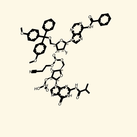 COc1ccc(C(OC[C@H]2O[C@@H](n3cnc4c(NC(=O)c5ccccc5)ncnc43)[C@H](F)[C@@H]2OP(OCCC#N)OC[C@H]2O[C@@H](n3cnc4c(=O)[nH]c(NC(=O)C(C)C)nc43)[C@@H](O[PH](=O)O)[C@@H]2F)(c2ccccc2)c2ccc(OC)cc2)cc1